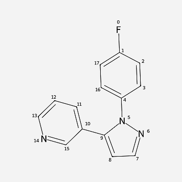 Fc1ccc(-n2nccc2-c2cccnc2)cc1